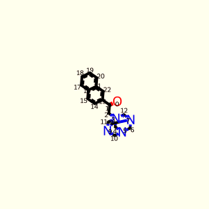 O=C(C[N+]12CN3CN(CN(C3)C1)C2)c1ccc2ccccc2c1